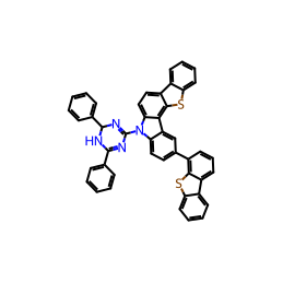 c1ccc(C2=NC(n3c4ccc(-c5cccc6c5sc5ccccc56)cc4c4c5sc6ccccc6c5ccc43)=NC(c3ccccc3)N2)cc1